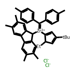 CCC1C=C(C(C)(C)C)C=[C]1[Zr+2](=[C](c1ccc(C)cc1)c1ccc(C)cc1)[CH]1c2cc(C)c(C)cc2-c2cc(C)c(C)cc21.[Cl-].[Cl-]